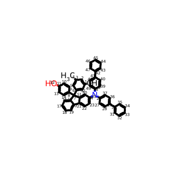 Cc1cc(C)cc(C2(c3ccc(O)cc3)c3ccccc3-c3ccc(N(c4ccc(-c5ccccc5)cc4)c4ccc(-c5ccccc5)cc4)cc32)c1